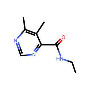 CCNC(=O)c1ncnc(C)c1C